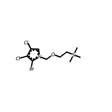 C[Si](C)(C)CCOCn1cc(Cl)c(Cl)c1Br